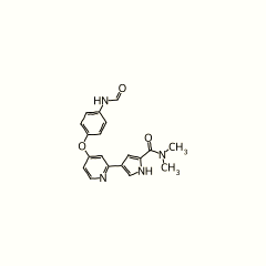 CN(C)C(=O)c1cc(-c2cc(Oc3ccc(NC=O)cc3)ccn2)c[nH]1